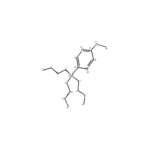 CCC[CH2][Sn]([CH2]CCC)([CH2]CCC)[c]1cnc(OC)cn1